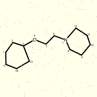 C1CCC(OCCN2CCCCC2)CC1